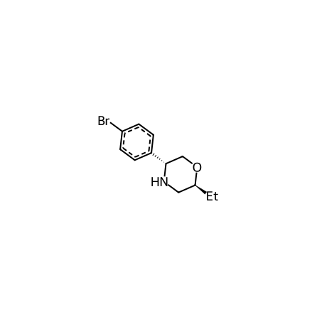 CC[C@H]1CN[C@H](c2ccc(Br)cc2)CO1